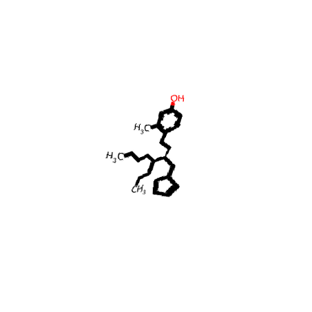 CC/C=C(\CCCC)[C@@H](CCc1ccc(O)cc1C)CC1C=CC=C1